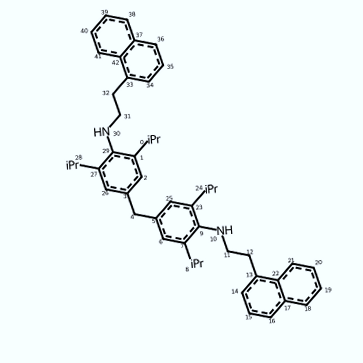 CC(C)c1cc(Cc2cc(C(C)C)c(NCCc3cccc4ccccc34)c(C(C)C)c2)cc(C(C)C)c1NCCc1cccc2ccccc12